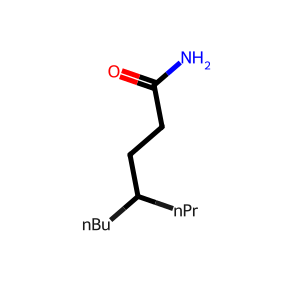 CCCCC(CCC)CCC(N)=O